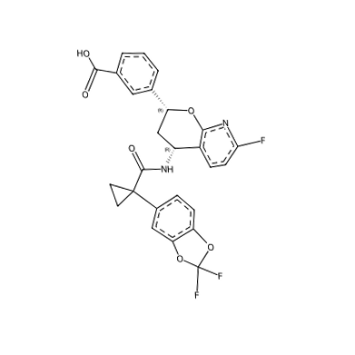 O=C(O)c1cccc([C@H]2C[C@@H](NC(=O)C3(c4ccc5c(c4)OC(F)(F)O5)CC3)c3ccc(F)nc3O2)c1